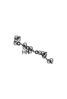 C=CC(=O)OCCCCOCC(COc1ccc(/C=C/C(=O)Oc2ccc(OC(=O)/C=C/c3ccc(OC(C)(C)CC(C)(C)OC(=O)C=C)cc3)cc2C=N)cc1)OC(=O)C=C